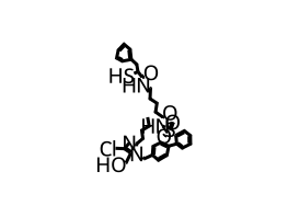 CCCCc1nc(Cl)c(CO)n1Cc1ccc(-c2ccccc2S(=O)(=O)NC(=O)CCCCNC(=O)C(S)Cc2ccccc2)cc1